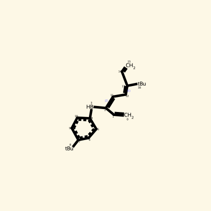 C=C/C(Bc1ccc(C(C)(C)C)cc1)=C\C=C(/C=C)C(C)(C)C